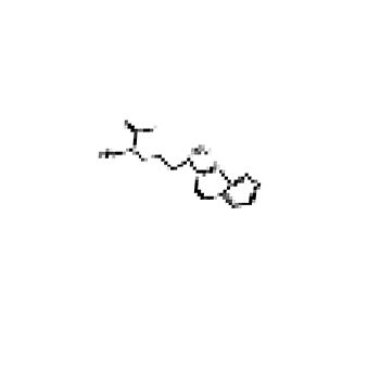 C=C(C)C(CCC)CCCC(CCCC)c1ccc2ccccc2n1